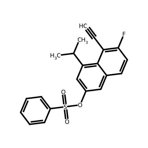 C#Cc1c(F)ccc2cc(OS(=O)(=O)c3ccccc3)cc(C(C)C)c12